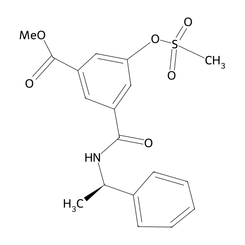 COC(=O)c1cc(OS(C)(=O)=O)cc(C(=O)N[C@H](C)c2ccccc2)c1